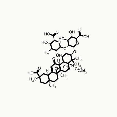 CC1(C)[C@@H](O[C@H]2O[C@H](C(=O)O)[C@@H](O)[C@H](O)[C@H]2O[C@@H]2O[C@H](C(=O)O)[C@@H](O)[C@H](O)[C@H]2O)CC[C@]2(C)[C@H]3C(=O)C=C4[C@@H]5C[C@@](C)(C(=O)O)CC[C@]5(C)CC[C@@]4(C)[C@]3(C)CC[C@@H]12.[CaH2].[CaH2]